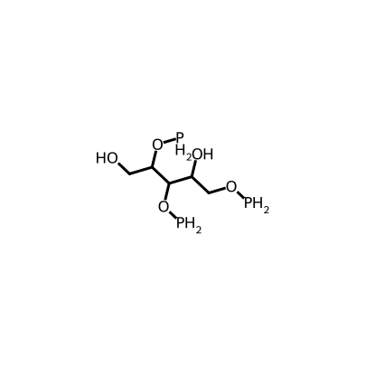 OCC(OP)C(OP)C(O)COP